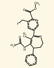 COC(=O)c1ncc(C2=NCCC(c3ccccc3)C(NC(N)=O)=C2C)cc1CF